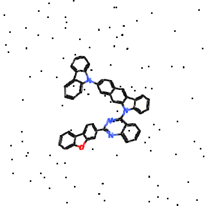 c1ccc2c(-n3c4ccccc4c4cc5ccc(-n6c7ccccc7c7ccccc76)cc5cc43)nc(-c3ccc4c(c3)oc3ccccc34)nc2c1